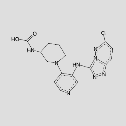 O=C(O)NC1CCCN(c2ccncc2Nc2nnc3ccc(Cl)nn23)C1